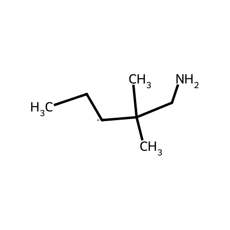 CC[CH]C(C)(C)CN